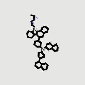 C/C=C\C=C/Cn1c2c(c3c(-c4cccc(N(c5ccc(-c6cccc7ccccc67)cc5)c5ccc6ccccc6c5)c4)cc4ccccc4c31)CCC=C2